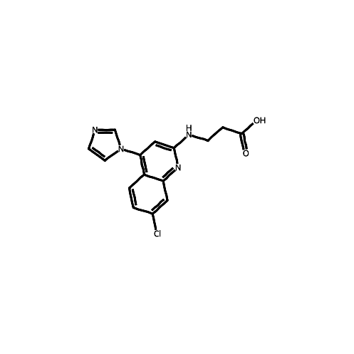 O=C(O)CCNc1cc(-n2ccnc2)c2ccc(Cl)cc2n1